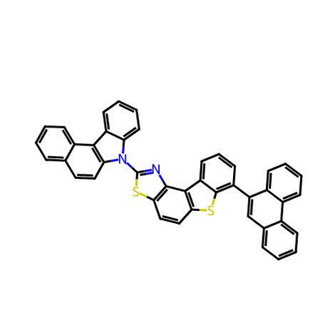 c1ccc2c(c1)cc(-c1cccc3c1sc1ccc4sc(-n5c6ccccc6c6c7ccccc7ccc65)nc4c13)c1ccccc12